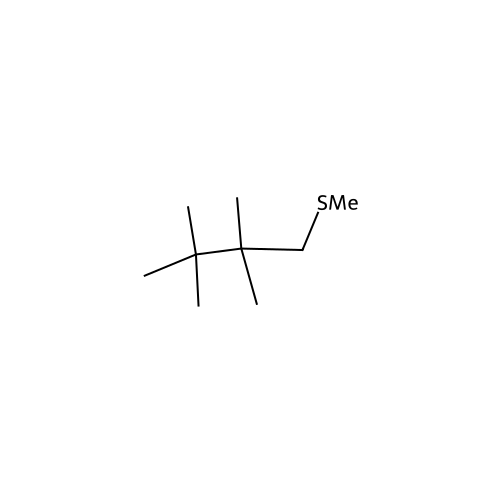 CSCC(C)(C)C(C)(C)C